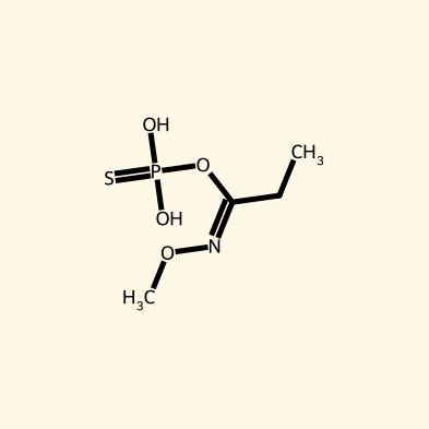 CCC(=NOC)OP(O)(O)=S